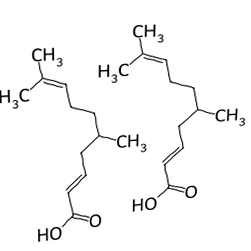 CC(C)=CCCC(C)CC=CC(=O)O.CC(C)=CCCC(C)CC=CC(=O)O